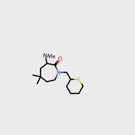 CNC1CC(C)(C)CCN(CC2CCCCS2)C1=O